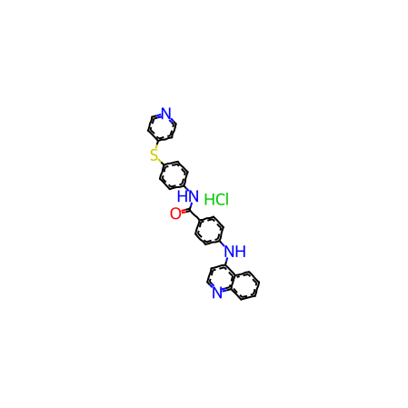 Cl.O=C(Nc1ccc(Sc2ccncc2)cc1)c1ccc(Nc2ccnc3ccccc23)cc1